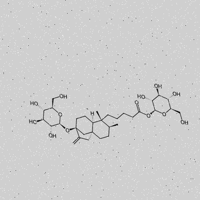 C=C1C[C@@]23CC[C@H](C)[C@@](C)(CCCCC(=O)O[C@@H]4O[C@H](CO)[C@@H](O)[C@H](O)[C@H]4O)[C@@H]2CC[C@]1(O[C@@H]1O[C@H](CO)[C@@H](O)[C@H](O)[C@H]1O)C3